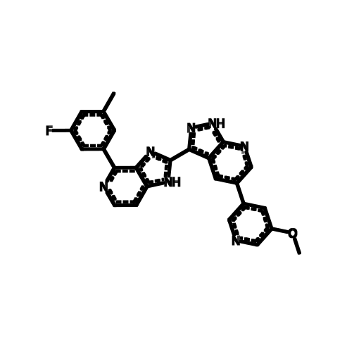 COc1cncc(-c2cnc3[nH]nc(-c4nc5c(-c6cc(C)cc(F)c6)nccc5[nH]4)c3c2)c1